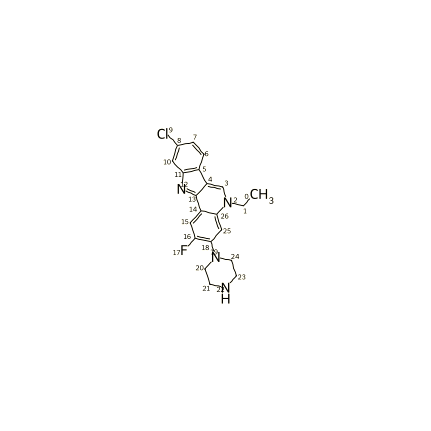 CCn1cc2c3ccc(Cl)cc3nc-2c2cc(F)c(N3CCNCC3)cc21